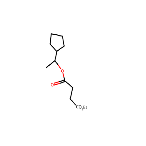 CCOC(=O)CCC(=O)OC(C)C1CCCC1